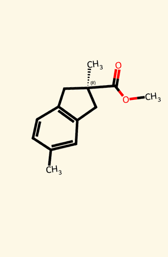 COC(=O)[C@]1(C)Cc2ccc(C)cc2C1